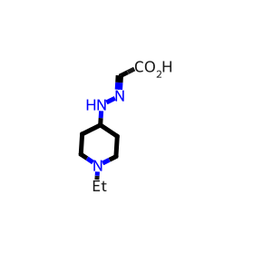 CCN1CCC(N/N=C/C(=O)O)CC1